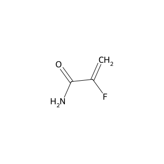 C=C(F)C(N)=O